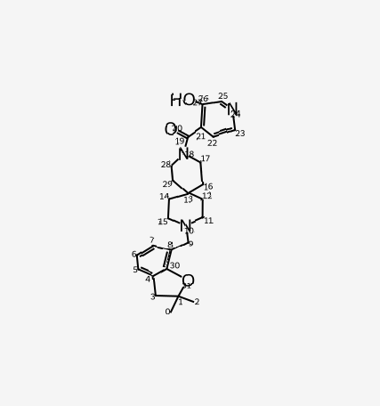 CC1(C)Cc2cccc(CN3CCC4(CC3)CCN(C(=O)c3ccncc3O)CC4)c2O1